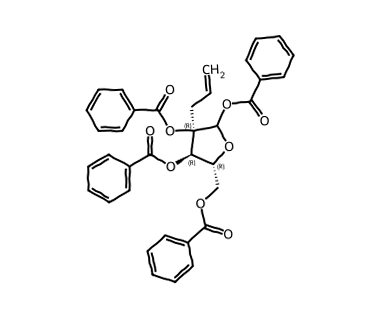 C=CC[C@]1(OC(=O)c2ccccc2)C(OC(=O)c2ccccc2)O[C@H](COC(=O)c2ccccc2)[C@H]1OC(=O)c1ccccc1